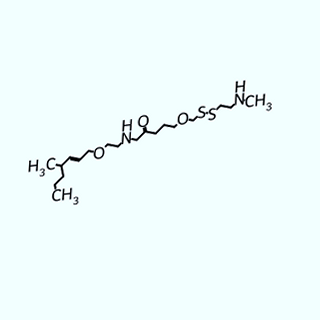 CCCC(C)/C=C/COCCNCC(=O)CCCOCSSCCNC